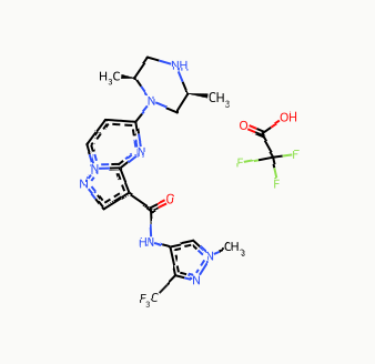 C[C@H]1CN(c2ccn3ncc(C(=O)Nc4cn(C)nc4C(F)(F)F)c3n2)[C@@H](C)CN1.O=C(O)C(F)(F)F